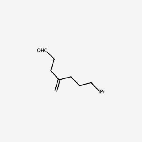 C=C(CCC=O)CCCC(C)C